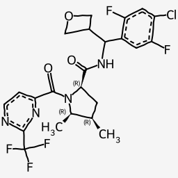 C[C@@H]1C[C@H](C(=O)NC(c2cc(F)c(Cl)cc2F)C2COC2)N(C(=O)c2ccnc(C(F)(F)F)n2)[C@@H]1C